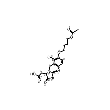 CC(=O)OCCCCOc1ccc2c(c1Cl)CN1C(=N2)NC(=O)C1CC(=O)O